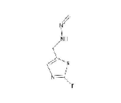 C=NNCc1cnc(F)s1